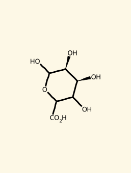 O=C(O)C1OC(O)[C@@H](O)[C@@H](O)C1O